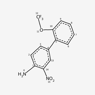 Nc1ccc(-c2ccccc2OC(F)(F)F)cc1[N+](=O)[O-]